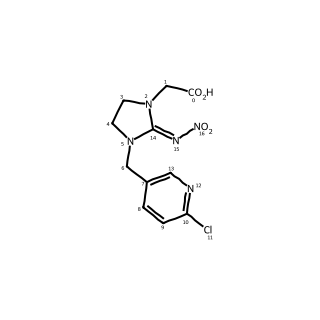 O=C(O)CN1CCN(Cc2ccc(Cl)nc2)C1=N[N+](=O)[O-]